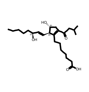 CCCCC[C@H](O)C=C[C@@H]1C(CCCCCCC(=O)O)=C(C(=O)CC(C)C)C[C@H]1O